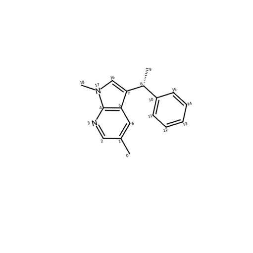 Cc1cnc2c(c1)c([C@H](C)c1ccccc1)cn2C